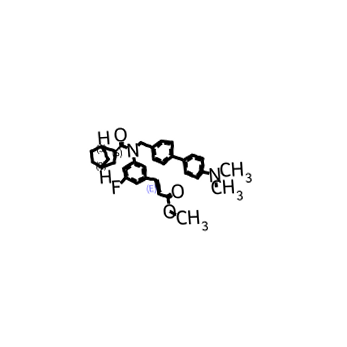 COC(=O)/C=C/c1cc(F)cc(N(Cc2ccc(-c3ccc(N(C)C)cc3)cc2)C(=O)[C@H]2C[C@@H]3CC[C@H]2C3)c1